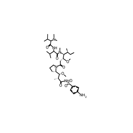 CC[C@H](C)[C@@H]([C@@H](CC(=O)N1CCC[C@H]1[C@H](OC)[C@@H](C)C(=O)NS(=O)(=O)c1ccc(N)cc1)OC)N(C)C(=O)C(NC(=O)C(C(C)C)N(C)C)C(C)C